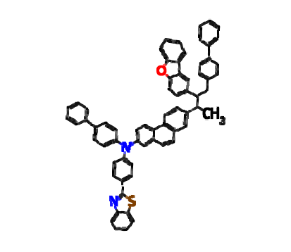 CC(c1ccc2c(ccc3cc(N(c4ccc(-c5ccccc5)cc4)c4ccc(-c5nc6ccccc6s5)cc4)ccc32)c1)C(Cc1ccc(-c2ccccc2)cc1)c1ccc2oc3ccccc3c2c1